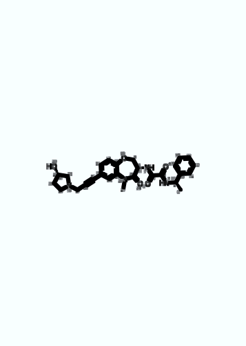 C[C@@H](NC(=O)C(=O)N[C@H]1COc2ccc(C#CCN3CC[C@H](O)C3)cc2N(C)C1=O)c1ccccc1